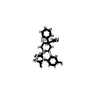 Cc1ccc(-n2c(C)nnc2N2CCC(C#N)(c3ccccc3)CC2)cc1